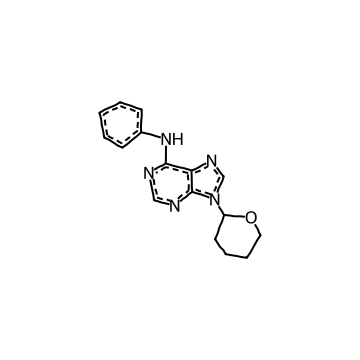 c1ccc(Nc2ncnc3c2ncn3C2CCCCO2)cc1